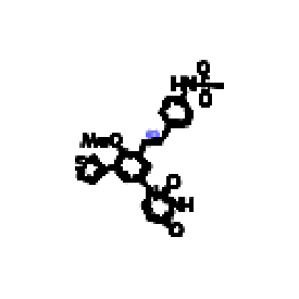 COc1c(/C=C/c2ccc(NS(C)(=O)=O)cc2)cc(-n2ccc(=O)[nH]c2=O)cc1-c1ccsc1